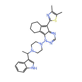 Cc1nc(-c2c3ncnn(N4CCN(C(C)c5c[nH]c6ccccc56)CC4)c-3c3c2CCCC3)sc1C